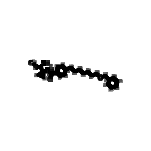 N/C(=N\Cl)C1(NC(=O)c2ccc(CCCCCCCOCc3ccccc3)cc2)CC1